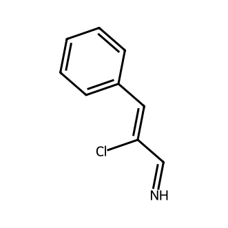 N=CC(Cl)=Cc1ccccc1